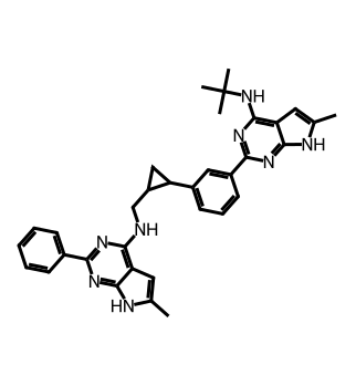 Cc1cc2c(NCC3CC3c3cccc(-c4nc(NC(C)(C)C)c5cc(C)[nH]c5n4)c3)nc(-c3ccccc3)nc2[nH]1